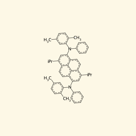 Cc1ccc(C)c(N(c2ccccc2)c2cc(C(C)C)c3ccc4c(N(c5ccccc5)c5cc(C)ccc5C)cc(C(C)C)c5ccc2c3c54)c1